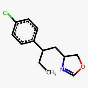 CCC(CC1CO[C]=N1)c1ccc(Cl)cc1